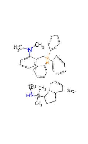 CC(C)(C)N[Si](C)(C)C1CCC2CC=CC=C21.CN(C)c1ccccc1C[PH](c1ccccc1)(c1ccccc1)c1ccccc1.[Sc]